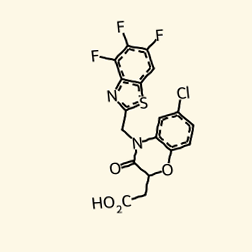 O=C(O)CC1Oc2ccc(Cl)cc2N(Cc2nc3c(F)c(F)c(F)cc3s2)C1=O